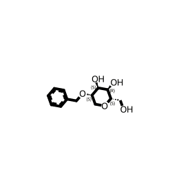 OC[C@@H]1OC[C@H](OCc2ccccc2)[C@@H](O)[C@H]1O